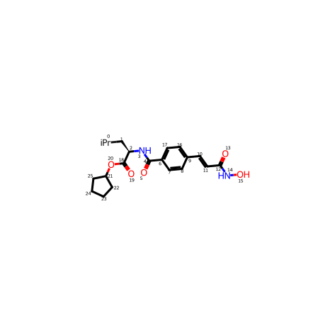 CC(C)C[C@@H](NC(=O)c1ccc(/C=C/C(=O)NO)cc1)C(=O)OC1CCCC1